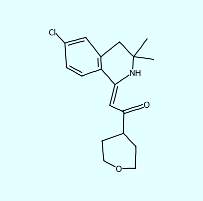 CC1(C)Cc2cc(Cl)ccc2/C(=C/C(=O)C2CCOCC2)N1